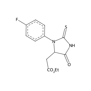 CCOC(=O)CC1C(=O)NC(=S)N1c1ccc(F)cc1